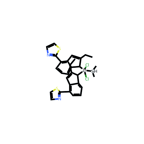 CCC1=Cc2c(-c3nccs3)cccc2[CH]1[Zr]([Cl])([Cl])([CH]1C(CC)=Cc2c(-c3nccs3)cccc21)[SiH](C)C